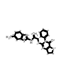 C=C(CSc1nc2c(c(=O)n1-c1ccccc1)SCC2)Nc1nc2ccc(C)cc2s1